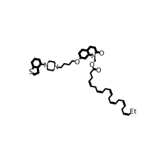 CC/C=C\C/C=C\C/C=C\C/C=C\C/C=C\C/C=C\CCC(=O)OCn1c(=O)ccc2ccc(OCCCCN3CCN(c4cccc5sccc45)CC3)cc21